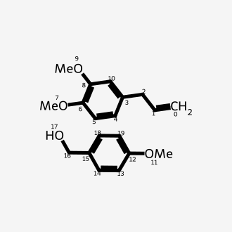 C=CCc1ccc(OC)c(OC)c1.COc1ccc(CO)cc1